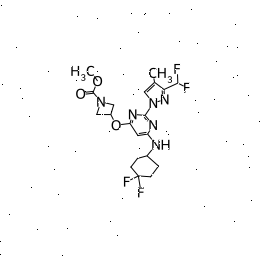 COC(=O)N1CC(Oc2cc(NC3CCC(F)(F)CC3)nc(-n3cc(C)c(C(F)F)n3)n2)C1